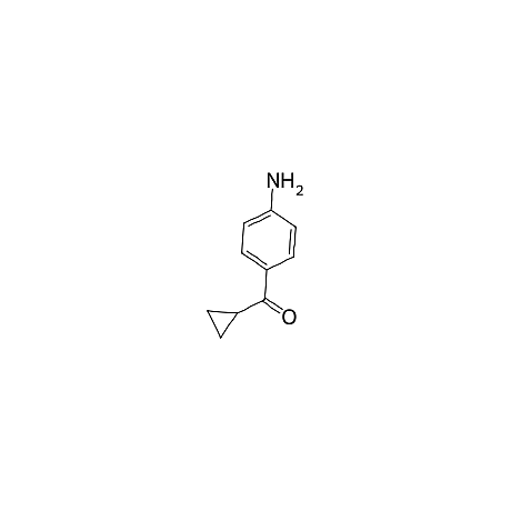 Nc1ccc(C(=O)C2CC2)cc1